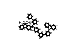 CC1(C)c2ccccc2-c2ccc(N(c3ccc(-c4cccc(-c5cccc(-n6c7ccccc7c7ccccc76)c5)c4)cc3)c3cccc(-c4ccccc4)c3)cc21